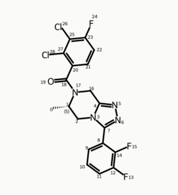 C[C@H]1Cn2c(nnc2-c2cccc(F)c2F)CN1C(=O)c1ccc(F)c(Cl)c1Cl